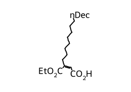 CCCCCCCCCCCCCCCCCCC(=CC(=O)O)C(=O)OCC